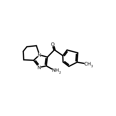 Cc1ccc(C(=O)c2c(N)nc3n2CCCC3)cc1